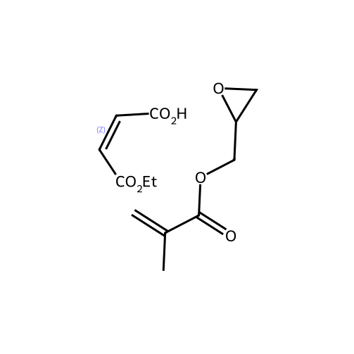 C=C(C)C(=O)OCC1CO1.CCOC(=O)/C=C\C(=O)O